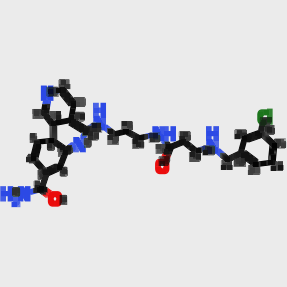 NC(=O)c1ccc2c(c1)nc(NCCCNC(=O)CCNCc1cccc(Cl)c1)c1ccncc12